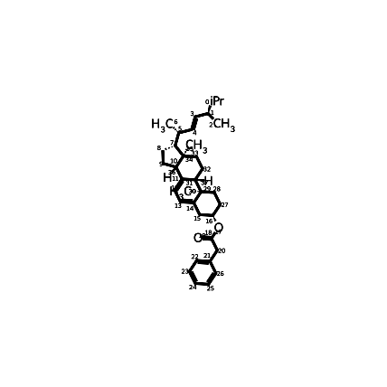 CC(C)[C@@H](C)/C=C/[C@@H](C)[C@H]1CC[C@H]2C3=CC=C4C[C@@H](OC(=O)Cc5ccccc5)CC[C@]4(C)[C@H]3CC[C@]12C